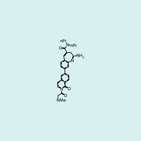 CCCN(CCC)C(=O)C1=Cc2ccc(-c3ccc4c(=O)n(C(=O)CNC)ccc4c3)cc2N=C(N)C1